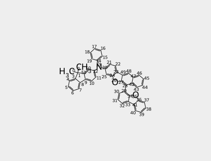 CC1(C)c2ccccc2-c2ccc(N(c3ccccc3)c3ccc4c(c3)oc3c(-c5cccc6c5oc5ccccc56)c5ccccc5cc34)cc21